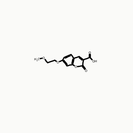 COCCOc1ccc2cc(C(=O)O)c(=O)oc2c1